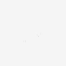 O=C(O)C1CC2CCCCC[C@H]2N1